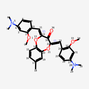 COc1cc(N(C)C)ccc1/C=C1\Oc2ccc(C)cc2O/C(=C\c2ccc(N(C)C)cc2OC)C1=O